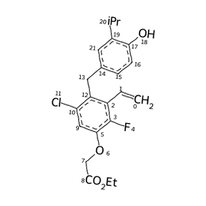 C=Cc1c(F)c(OCC(=O)OCC)cc(Cl)c1Cc1ccc(O)c(C(C)C)c1